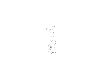 Cc1ccc(COc2ccc(C=C3SC(=S)NC3=O)cc2)cc1F